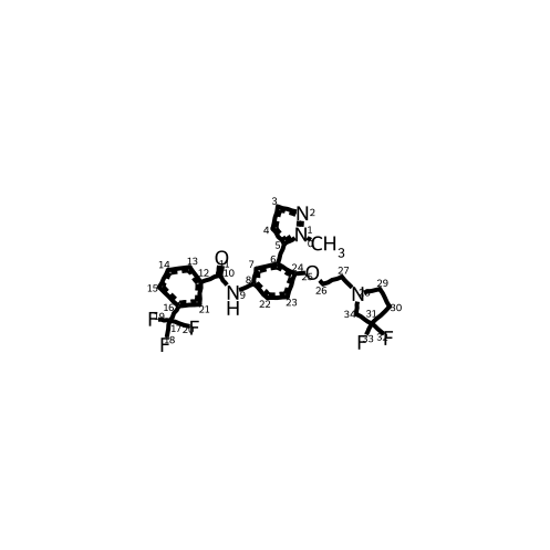 Cn1nccc1-c1cc(NC(=O)c2cccc(C(F)(F)F)c2)ccc1OCCN1CCC(F)(F)C1